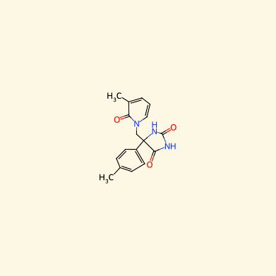 Cc1ccc(C2(Cn3cccc(C)c3=O)NC(=O)NC2=O)cc1